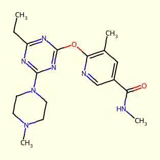 CCc1nc(Oc2ncc(C(=O)NC)cc2C)nc(N2CCN(C)CC2)n1